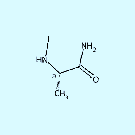 C[C@H](NI)C(N)=O